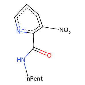 CCCCCNC(=O)c1ncccc1[N+](=O)[O-]